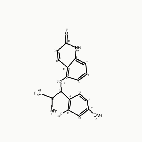 CCCC(C(Nc1cccc2[nH]c(=O)ccc12)c1ccc(OC)cc1F)C(F)(F)F